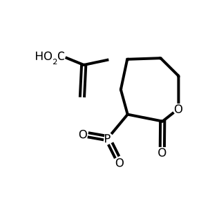 C=C(C)C(=O)O.O=C1OCCCCC1P(=O)=O